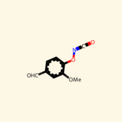 COc1cc(C=O)ccc1ON=C=O